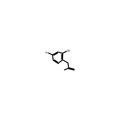 C=C(C)Cc1ccc(C(C)=O)cc1O